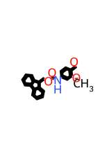 COc1cc(NC(=O)OCC2c3ccccc3-c3ccccc32)ccc1C=O